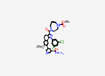 COc1cc2c(cc1-c1cncc(C(N)=O)c1)-c1c(c(C(=O)N3CCCN(C(=O)OC(C)(C)C)CC3)nn1-c1cc(Cl)cc(Cl)c1)CC2